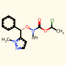 CCCN(O[C@@H](c1ccccc1)c1ccnn1C)C(=O)OC(C)Cl